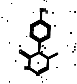 CC1C=NNC(=O)C1c1ccc(N)cc1